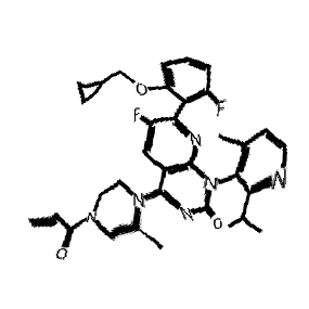 C=CC(=O)N1CCN(c2nc(=O)n(-c3c(C)ccnc3C(C)C)c3nc(-c4c(F)cccc4OCC4CC4)c(F)cc23)[C@@H](C)C1